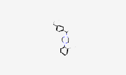 COc1ccccc1N1CCN(C(C)c2ccc(CNC(C)=O)cc2)CC1.Cl.Cl